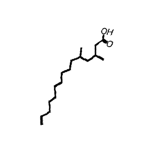 CCCCCCCCCCC(C)CC(C)CC(=O)O